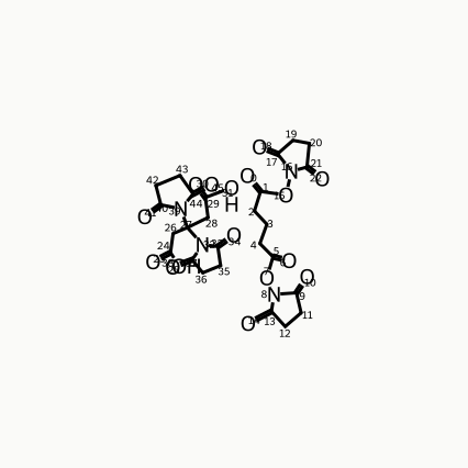 O=C(CCCC(=O)ON1C(=O)CCC1=O)ON1C(=O)CCC1=O.O=C(O)CC(CC(=O)O)(N1C(=O)CCC1=O)N1C(=O)CCC1=O